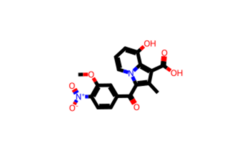 COc1cc(C(=O)c2c(C)c(C(=O)O)c3c(O)cccn23)ccc1[N+](=O)[O-]